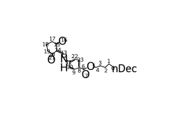 CCCCCCCCCCCCCCOC(=O)c1ccc(NC=C2C(=O)CCCC2=O)cc1